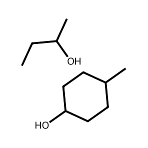 CC1CCC(O)CC1.CCC(C)O